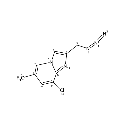 [N-]=[N+]=NCc1cn2cc(C(F)(F)F)cc(Cl)c2n1